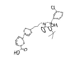 CC(C)(C)OC(=O)N(CCCc1ccc(-c2cccc(C(=O)O)c2)cc1)C[C@H](O)c1cccc(Cl)c1